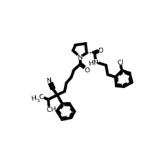 CC(C)C(C#N)(CCCCC(=O)N1CCC[C@@H]1C(=O)NCCc1ccccc1Cl)c1ccccc1